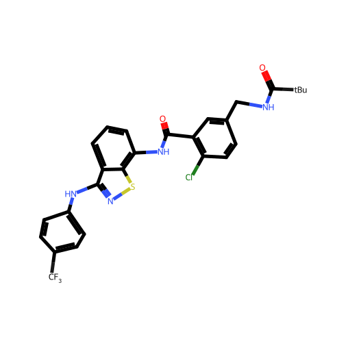 CC(C)(C)C(=O)NCc1ccc(Cl)c(C(=O)Nc2cccc3c(Nc4ccc(C(F)(F)F)cc4)nsc23)c1